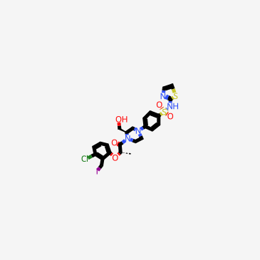 C[C@H](Oc1cccc(Cl)c1CI)C(=O)N1CCN(c2ccc(S(=O)(=O)Nc3nccs3)cc2)C[C@@H]1CO